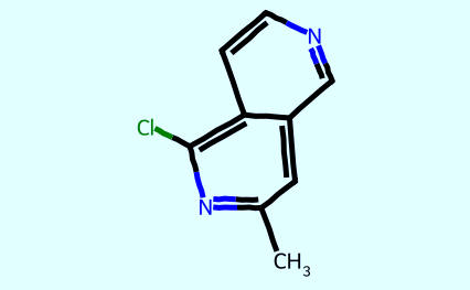 Cc1cc2cnccc2c(Cl)n1